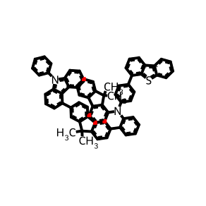 CC1(C)c2ccc(-c3ccccc3N(c3ccc(-c4cccc5c4sc4ccccc45)cc3)c3cccc4c3C(C)(C)c3ccccc3-4)cc2-c2ccc(-c3cccc4c3c3ccccc3n4-c3ccccc3)cc21